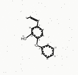 C/C=C\c1ccc(Oc2ccccc2)c(O)c1